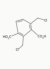 O=C(O)c1ccc(CCl)c(C(=O)O)c1CCl